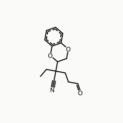 CCC(C#N)(CCC=O)C1COc2ccccc2O1